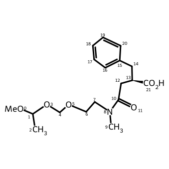 COC(C)OCOCCN(C)C(=O)C[C@@H](Cc1ccccc1)C(=O)O